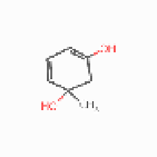 CC1(O)C=CC=C(O)C1